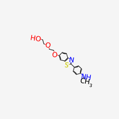 CNc1ccc(-c2nc3ccc(OCCOCCO)cc3s2)cc1